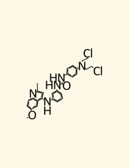 COc1ccc2nc(C)cc(Nc3cccc(NC(=O)Nc4ccc(N(CCCl)CCCl)cc4)c3)c2c1